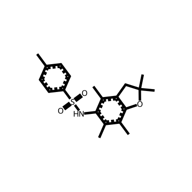 Cc1ccc(S(=O)(=O)Nc2c(C)c(C)c3c(c2C)CC(C)(C)O3)cc1